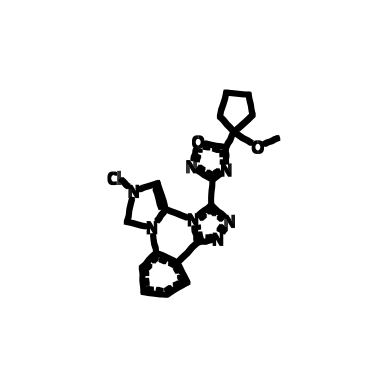 COC1(c2nc(-c3nnc4n3C3=CN(Cl)CN3c3ccccc3-4)no2)CCCC1